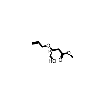 C=CCO[C@H](CO)CC(=O)OC